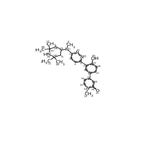 CN(c1ccc(-c2cc(-c3ccn(C)c(=O)c3)ccc2O)nn1)C1CC(C)(C)NC(C)(C)C1